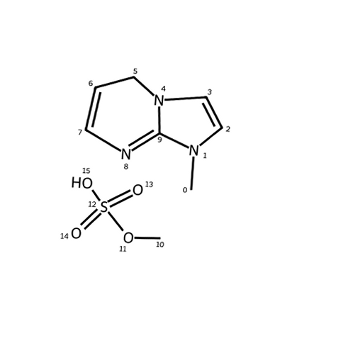 CN1C=CN2CC=CN=C12.COS(=O)(=O)O